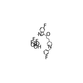 Cn1cc(C(=O)CCC2CCN(Cc3cccc(F)c3)CC2)c2cc(F)ccc21.O=S(=O)(O)C(F)(F)F